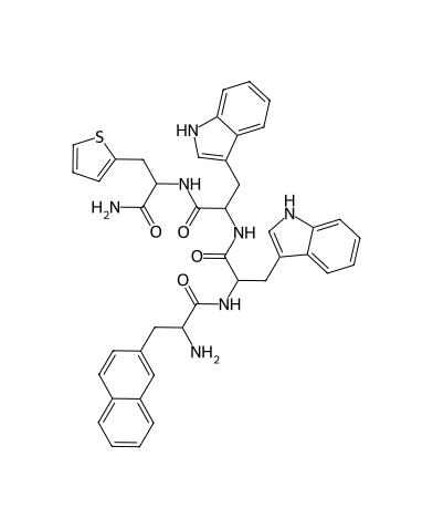 NC(=O)C(Cc1cccs1)NC(=O)C(Cc1c[nH]c2ccccc12)NC(=O)C(Cc1c[nH]c2ccccc12)NC(=O)C(N)Cc1ccc2ccccc2c1